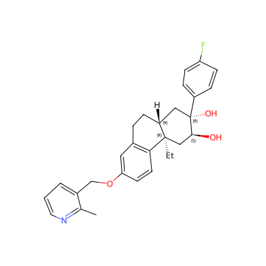 CC[C@@]12C[C@H](O)[C@](O)(c3ccc(F)cc3)C[C@H]1CCc1cc(OCc3cccnc3C)ccc12